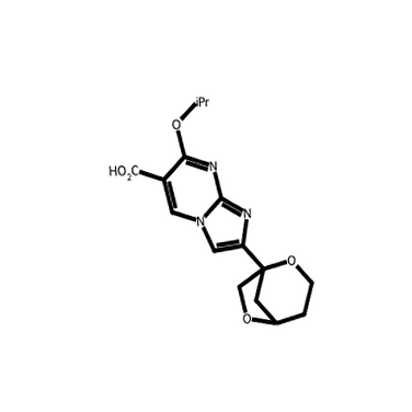 CC(C)Oc1nc2nc(C34COC(CCO3)C4)cn2cc1C(=O)O